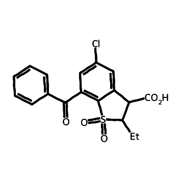 CCC1C(C(=O)O)c2cc(Cl)cc(C(=O)c3ccccc3)c2S1(=O)=O